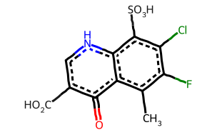 Cc1c(F)c(Cl)c(S(=O)(=O)O)c2[nH]cc(C(=O)O)c(=O)c12